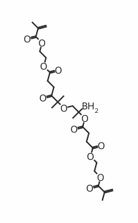 BC(C)(COC(C)(C)C(=O)CCC(=O)OCCOC(=O)C(=C)C)OC(=O)CCC(=O)OCCOC(=O)C(=C)C